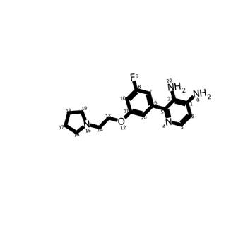 Nc1ccnc(-c2cc(F)cc(OCCN3CCCC3)c2)c1N